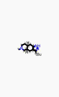 CN1CC[C@H]2Cc3[nH]nc(C(C)(C)C)c3C[C@@H]2C1